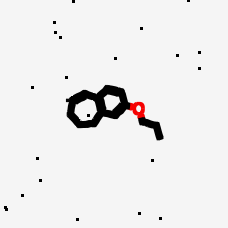 CCCOc1ccc2c(c1)CCC[C]=C2